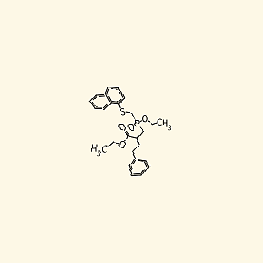 CCOC(=O)C(CCc1ccccc1)CP(=O)(CSc1cccc2ccccc12)OCC